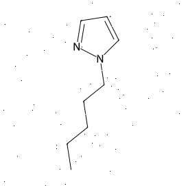 CCCCCn1c[c]cn1